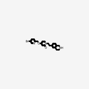 O=c1cc(OCc2ccc(Br)cn2)ccn1CCc1ccc2c(c1)CCNC2